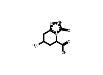 CC1Cc2n[nH]c(=O)n2C(C(=O)O)C1